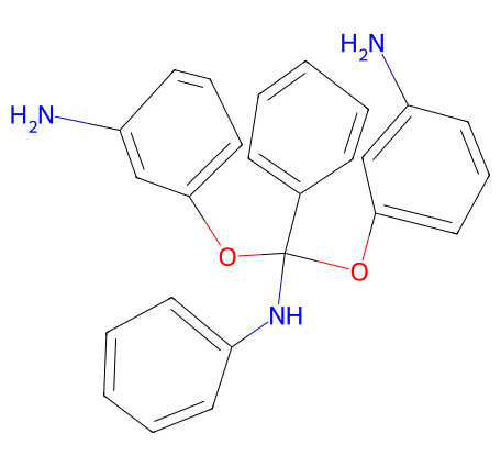 Nc1cccc(OC(Nc2ccccc2)(Oc2cccc(N)c2)c2ccccc2)c1